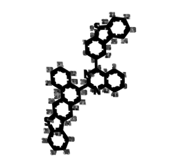 c1ccc2c(-c3ccc4sc5ccccc5c4c3)nc(-c3cc4cc5c(cc4c4ccccc34)sc3ccccc35)nc2c1